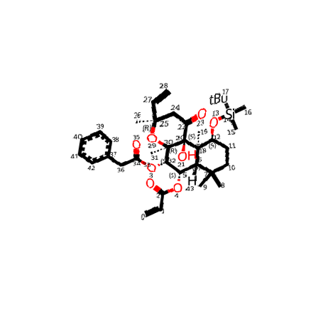 C=CC(=O)O[C@H]1[C@H]2C(C)(C)CC[C@H](O[Si](C)(C)C(C)(C)C)[C@]2(C)[C@@]2(O)C(=O)C[C@](C)(C=C)O[C@]2(C)[C@H]1OC(=O)Cc1ccccc1